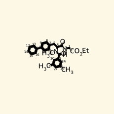 CCOC(=O)CNC(=O)C(Cc1ccc(-c2ccccc2)cc1)N(C)C(=O)c1cc(C)cc(C)c1